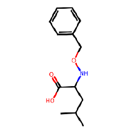 CC(C)CC(NOCc1ccccc1)C(=O)O